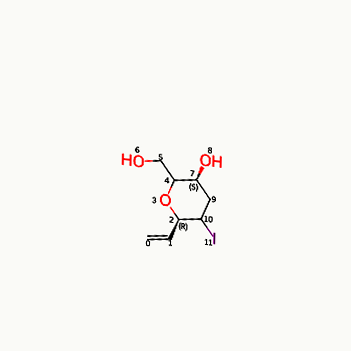 C=C[C@H]1OC(CO)[C@@H](O)CC1I